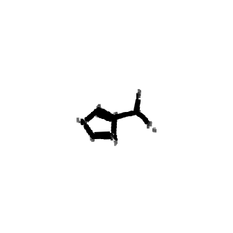 FC(F)C1=C[N][C]=N1